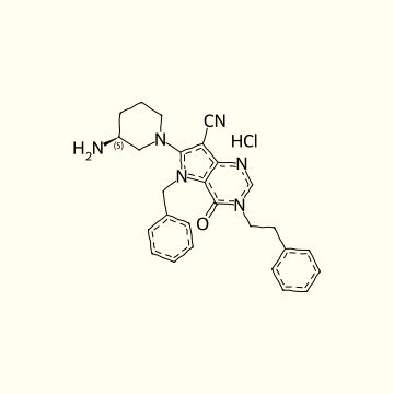 Cl.N#Cc1c(N2CCC[C@H](N)C2)n(Cc2ccccc2)c2c(=O)n(CCc3ccccc3)cnc12